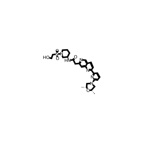 C[C@@H]1CN(c2cccc(-c3ccc4cnc(CC(=O)N[C@@H]5CCCN(S(=O)(=O)CCO)C5)cc4n3)n2)C[C@H](C)O1